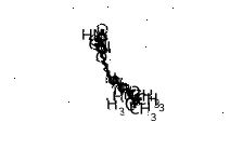 CC1(C)CC(C)(C)C1NC(=O)c1ccc(N2CCN(CCCCCCOc3cnn(C4CCC(=O)NC4=O)c(=O)c3)CC2)nc1